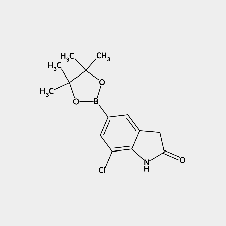 CC1(C)OB(c2cc(Cl)c3c(c2)CC(=O)N3)OC1(C)C